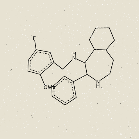 COc1ccc(F)cc1CNC1C(c2ccccc2)NCCC2CCCCC21